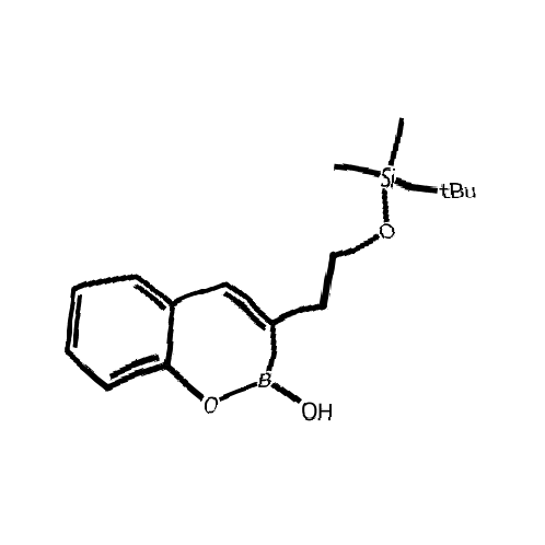 CC(C)(C)[Si](C)(C)OCCC1=Cc2ccccc2OB1O